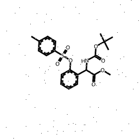 COC(=O)C(NC(=O)OC(C)(C)C)c1ccccc1OS(=O)(=O)c1ccc(C)cc1